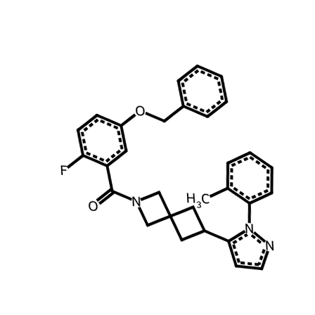 Cc1ccccc1-n1nccc1C1CC2(C1)CN(C(=O)c1cc(OCc3ccccc3)ccc1F)C2